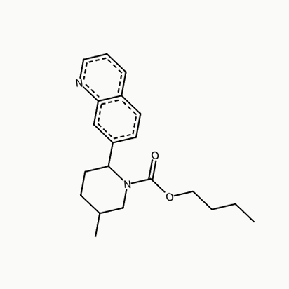 CCCCOC(=O)N1CC(C)CCC1c1ccc2cccnc2c1